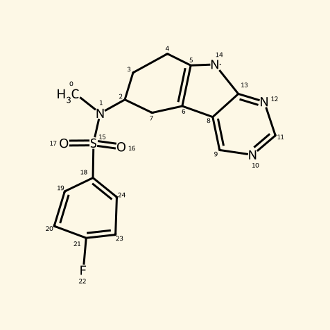 CN(C1CCC2=C(C1)c1cncnc1[N]2)S(=O)(=O)c1ccc(F)cc1